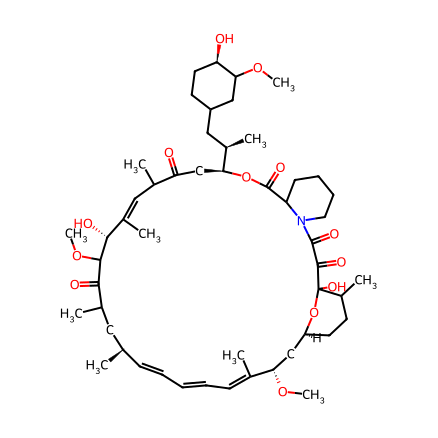 COC1CC(C[C@@H](C)[C@@H]2CC(=O)C(C)/C=C(\C)[C@@H](O)C(OC)C(=O)C(C)C[C@H](C)/C=C/C=C/C=C(\C)[C@@H](OC)C[C@@H]3CCC(C)C(O)(O3)C(=O)C(=O)N3CCCCC3C(=O)O2)CC[C@H]1O